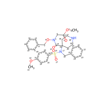 COC(=O)CN(OCc1ccccc1)C(=O)C1(N(Cc2ccccc2)S(=O)(=O)c2ccc(OC)cc2)CCNCC1